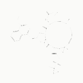 CC[C@@H]1C[C@@H](C)CC/C=C\[C@@H]2C[C@@]2(C(=O)NS(=O)(=O)C2(C)CC2)NC(=O)[C@@H]2C[C@@H](Oc3nnc(OC)c4ccccc34)CN2C(=O)[C@H]1NC(=O)O